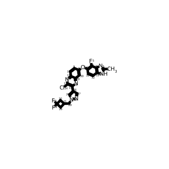 Cc1nc2c(F)c(Oc3ccc4nc(Cl)c(-c5cnn(CC6CC(F)(F)C6)c5)nc4c3)ccc2[nH]1